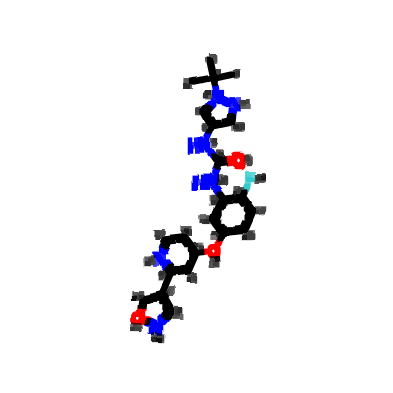 CC(C)(C)n1cc(NC(=O)Nc2cc(Oc3ccnc(-c4cnoc4)c3)ccc2F)cn1